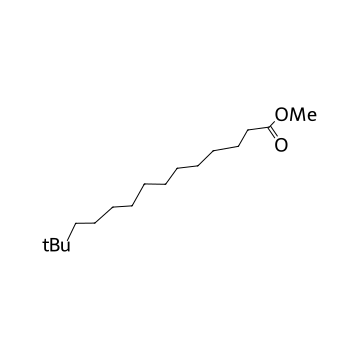 COC(=O)CCCCCCCCCCCC(C)(C)C